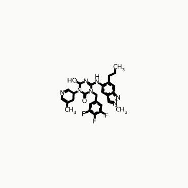 CCCc1cc2nn(C)cc2cc1NC1=NC(O)N(C2C=NC=C(C)C2)C(=O)N1Cc1cc(F)c(F)c(F)c1